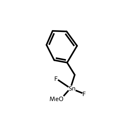 C[O][Sn]([F])([F])[CH2]c1ccccc1